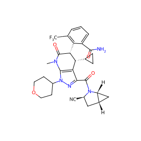 CN1C(=O)[C@H](c2c(C(N)=O)cccc2C(F)(F)F)[C@H](C2CC2)c2c(C(=O)N3[C@H](C#N)C[C@H]4C[C@H]43)nn(C3CCOCC3)c21